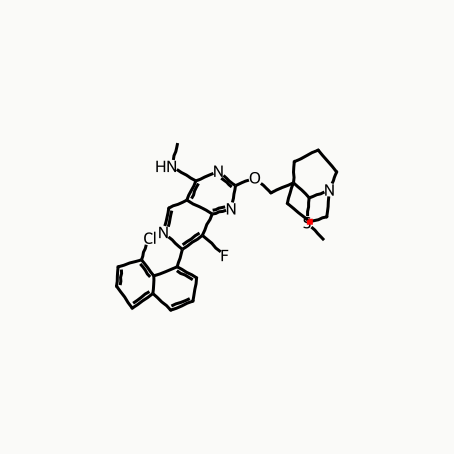 CNc1nc(OCC23CCCN(CCC2)C3SC)nc2c(F)c(-c3cccc4cccc(Cl)c34)ncc12